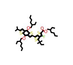 CCCCC(CC)COC(=O)c1sc2c(-c3cc4c(OCC(CC)CCCC)c5sc(C(C)C)cc5c(OCC(CC)CCCC)c4s3)sc(C(C)(C)CC)c2c1F